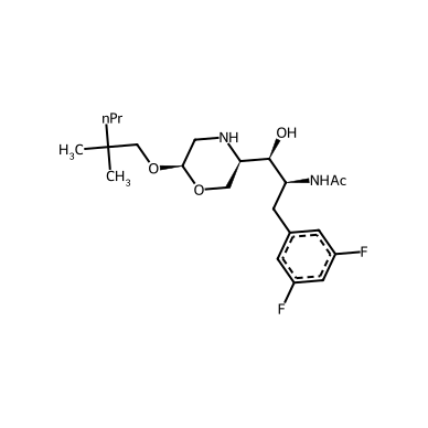 CCCC(C)(C)CO[C@H]1CN[C@@H]([C@@H](O)[C@H](Cc2cc(F)cc(F)c2)NC(C)=O)CO1